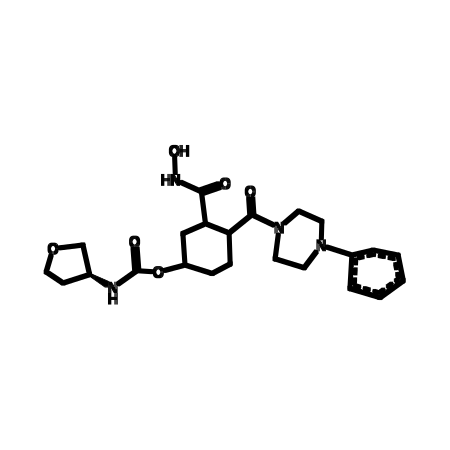 O=C(N[C@H]1CCOC1)OC1CCC(C(=O)N2CCN(c3ccccc3)CC2)C(C(=O)NO)C1